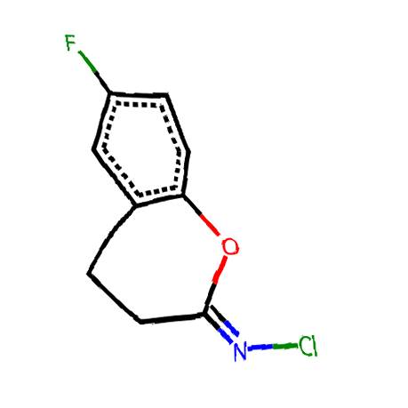 Fc1ccc2c(c1)CC/C(=N/Cl)O2